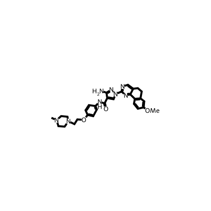 COc1ccc2c(c1)CCc1cnc(-n3cc(C(=O)Nc4ccc(OCCN5CCN(C)CC5)cc4)c(N)n3)nc1-2